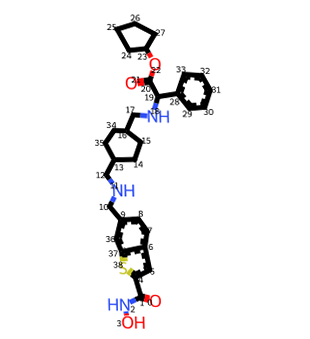 O=C(NO)c1cc2ccc(CNCC3CCC(CNC(C(=O)OC4CCCC4)c4ccccc4)CC3)cc2s1